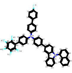 Fc1ccc(-c2ccc(N(c3ccc(-c4ccc5c(c4)c4ccccc4n5-c4cccc5ccccc45)cc3)c3ccc(-c4c(F)c(F)c(F)c(F)c4F)cc3)cc2)cc1